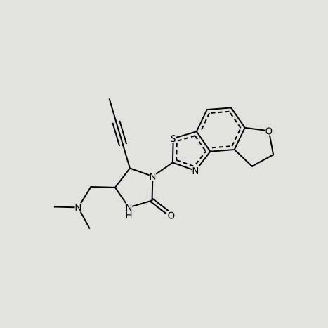 CC#CC1C(CN(C)C)NC(=O)N1c1nc2c3c(ccc2s1)OCC3